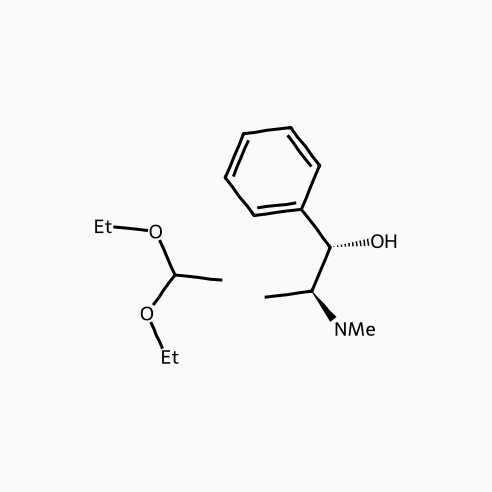 CCOC(C)OCC.CN[C@@H](C)[C@@H](O)c1ccccc1